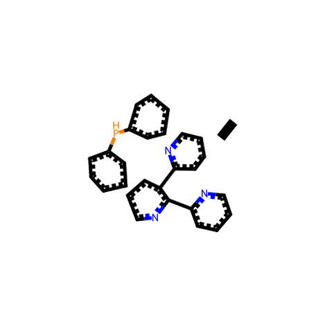 C#C.c1ccc(-c2cccnc2-c2ccccn2)nc1.c1ccc(Pc2ccccc2)cc1